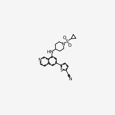 N#Cc1ccc(-c2cc(NC3CCN(S(=O)(=O)C4CC4)CC3)c3cnccc3c2)s1